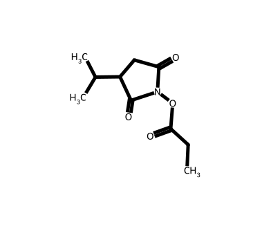 CCC(=O)ON1C(=O)CC(C(C)C)C1=O